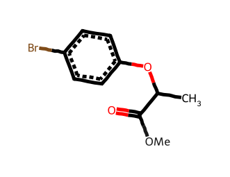 COC(=O)C(C)Oc1ccc(Br)cc1